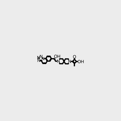 CC1=C(N2CCC3(CCN(C[C@@H](O)c4ccc5c(ccc6nnnn65)c4)CC3)CC2)C(=O)C1O